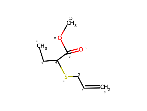 C=CCSC(CC)C(=O)OC